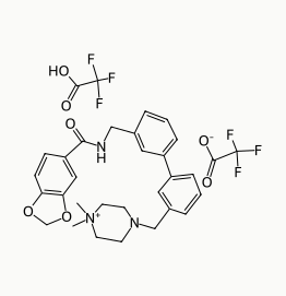 C[N+]1(C)CCN(Cc2cccc(-c3cccc(CNC(=O)c4ccc5c(c4)OCO5)c3)c2)CC1.O=C(O)C(F)(F)F.O=C([O-])C(F)(F)F